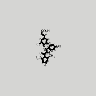 Cc1cc(F)cc(C)c1C(=O)c1sc2cc(O)ccc2c1Oc1c(Cl)cc(/C=C/C(=O)O)cc1Cl